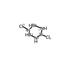 ClB1NBN(Cl)BN1